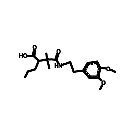 CCCC(C(=O)O)C(C)(C)C(=O)NCCc1ccc(OC)c(OC)c1